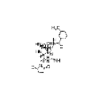 Cc1cccc(C(=O)NC2CN3C(=N)N[C@@H](CN4C(=O)CCC4=O)[C@@H]4NC(=N)N[C@@]43C2(O)O)c1